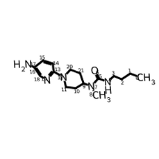 CCCCNC(=O)N(C)C1CCN(c2ccc(N)cn2)CC1